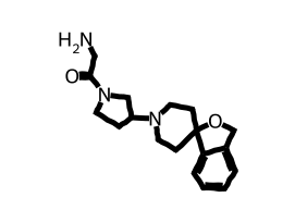 NCC(=O)N1CCC(N2CCC3(CC2)OCc2ccccc23)C1